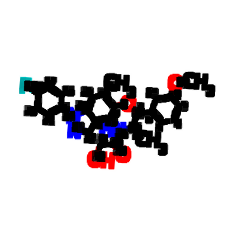 COc1cccc([C@H](Oc2cc3cnn(-c4ccc(F)cc4)c3cc2C)[C@H](C)NC(=O)CO)c1